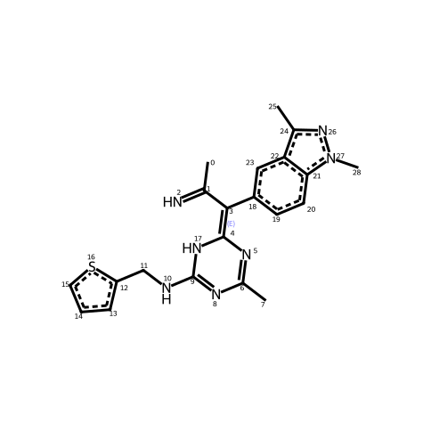 CC(=N)/C(=C1/N=C(C)N=C(NCc2cccs2)N1)c1ccc2c(c1)c(C)nn2C